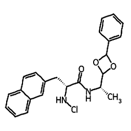 C[C@H](NC(=O)[C@@H](Cc1ccc2ccccc2c1)NCl)C1OC(c2ccccc2)O1